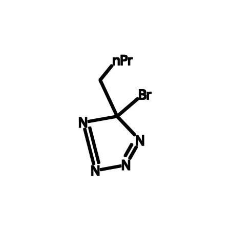 CCCCC1(Br)N=NN=N1